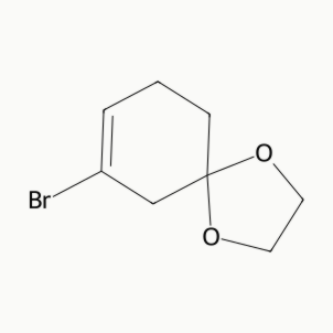 BrC1=CCCC2(C1)OCCO2